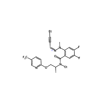 CCC#C/C=N\N(C)c1cc(F)c(F)cc1C(=O)N(CC)C(C)COc1ccc(C(F)(F)F)cn1